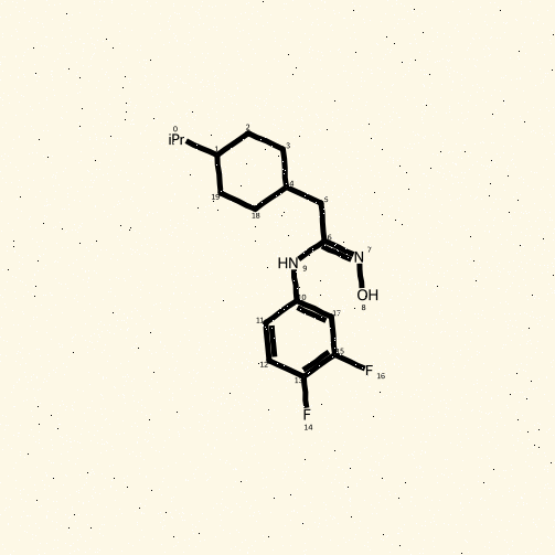 CC(C)C1CCC(C/C(=N/O)Nc2ccc(F)c(F)c2)CC1